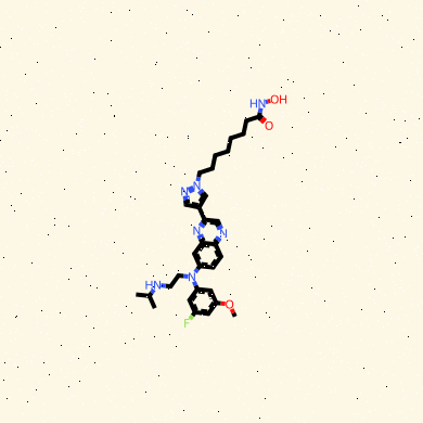 COc1cc(F)cc(N(CCNC(C)C)c2ccc3ncc(-c4cnn(CCCCCCCC(=O)NO)c4)nc3c2)c1